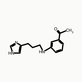 CC(=O)c1cccc(NCCCc2c[nH]cn2)c1